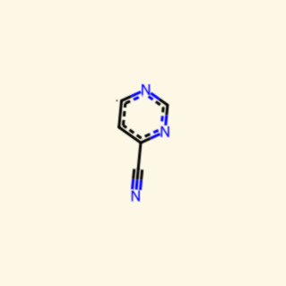 N#Cc1c[c]ncn1